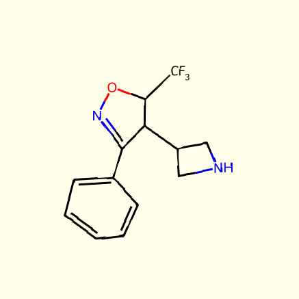 FC(F)(F)C1ON=C(c2ccccc2)C1C1CNC1